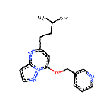 CC(=O)OC(C)CCc1cc(OCc2cccnc2)n2nccc2n1